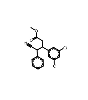 COC(=O)CC(c1cc(Cl)cc(Cl)c1)C(C#N)c1ccccc1